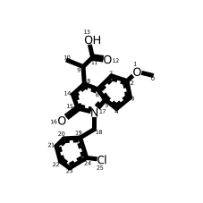 COc1ccc2c(c1)c(C(C)C(=O)O)cc(=O)n2Cc1ccccc1Cl